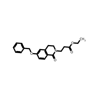 CCOC(=O)CCN1CCc2cc(OCc3ccccc3)ccc2C1=O